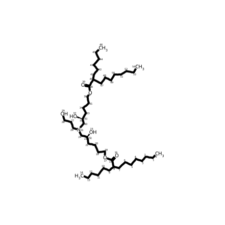 CCCCCCCCC(CCCCCC)C(=O)OCCCC[C@H](O)CN(CCCO)C[C@@H](O)CCCCOC(=O)C(CCCCCC)CCCCCCCC